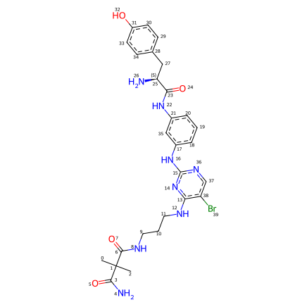 CC(C)(C(N)=O)C(=O)NCCCNc1nc(Nc2cccc(NC(=O)[C@@H](N)Cc3ccc(O)cc3)c2)ncc1Br